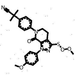 COOSc1nn(-c2ccc(OC)cc2)c2c1CCN(c1ccc(C(C)(C)C#N)cc1)C2=O